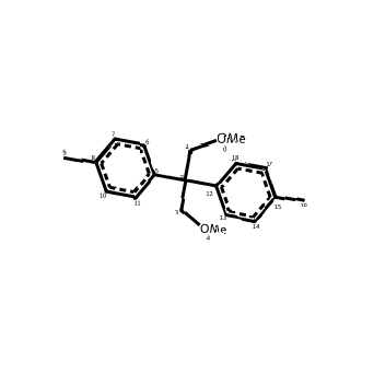 COCC(COC)(c1ccc(C)cc1)c1ccc(C)cc1